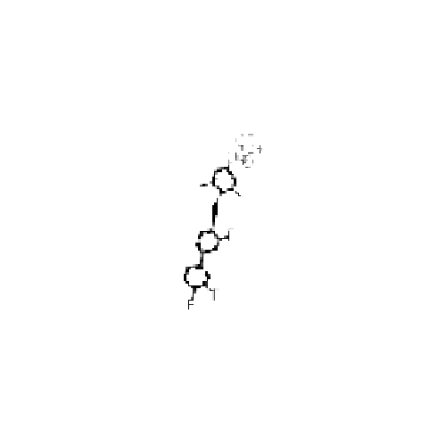 Cc1cc(OS(=O)(=O)C(F)(F)F)cc(C)c1C#Cc1ccc(-c2ccc(F)c(F)c2)cc1F